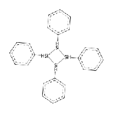 c1ccc([SiH]2[SiH](c3ccccc3)[SiH](c3ccccc3)[SiH]2c2ccccc2)cc1